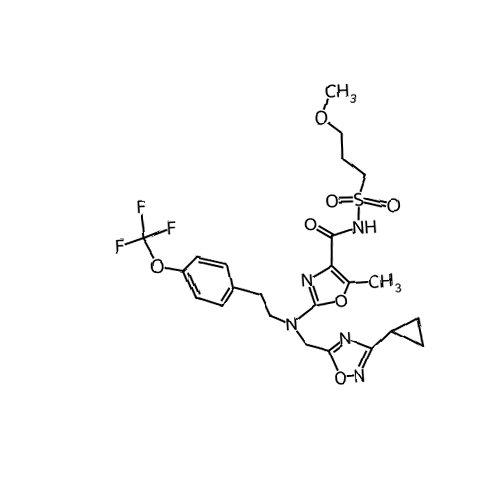 COCCCS(=O)(=O)NC(=O)c1nc(N(CCc2ccc(OC(F)(F)F)cc2)Cc2nc(C3CC3)no2)oc1C